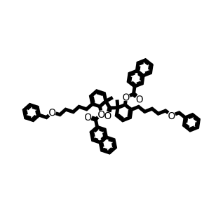 CC1(C(=O)C2(C)C=CC=C(CCCCCOCc3ccccc3)C2OC(=O)c2ccc3ccccc3c2)C=CC=C(CCCCCOCc2ccccc2)C1OC(=O)c1ccc2ccccc2c1